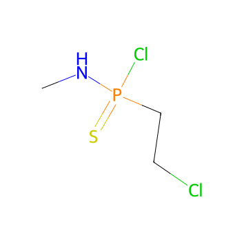 CNP(=S)(Cl)CCCl